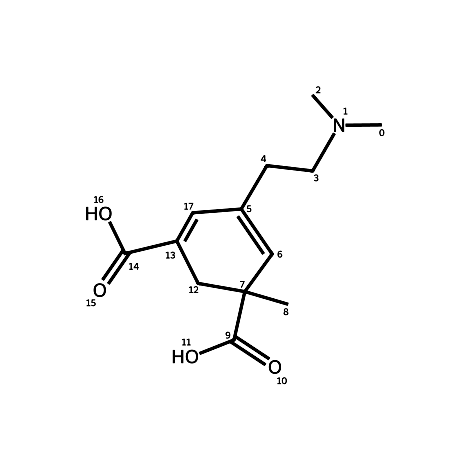 CN(C)CCC1=CC(C)(C(=O)O)CC(C(=O)O)=C1